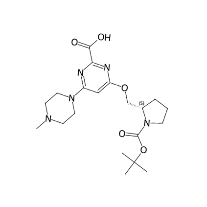 CN1CCN(c2cc(OC[C@@H]3CCCN3C(=O)OC(C)(C)C)nc(C(=O)O)n2)CC1